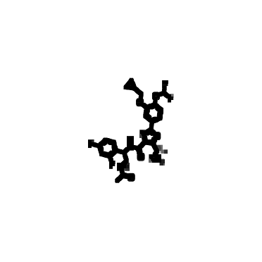 CC(=O)NCC(NC(=O)c1nc(-c2ccc(OC(F)F)c(OCC3CC3)c2)oc1[C@H](C)N)c1ccc(F)cc1F